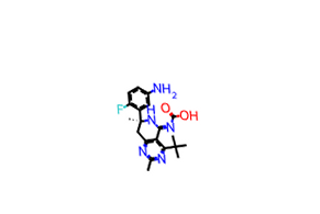 Cc1nc2c(c(C(C)(C)C)n1)C(=NC(=O)O)N[C@](C)(c1cc(N)ccc1F)C2